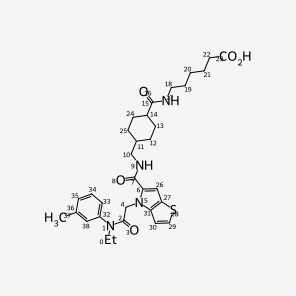 CCN(C(=O)Cn1c(C(=O)NCC2CCC(C(=O)NCCCCCC(=O)O)CC2)cc2sccc21)c1cccc(C)c1